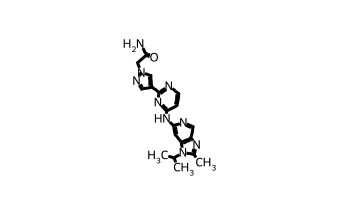 Cc1nc2cnc(Nc3ccnc(-c4cnn(CC(N)=O)c4)n3)cc2n1C(C)C